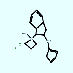 CCC[Si]1(C2[CH]([Zr+2][C]3=CC=CC3)CC3C=CC=CC32)CCC1.[Cl-].[Cl-]